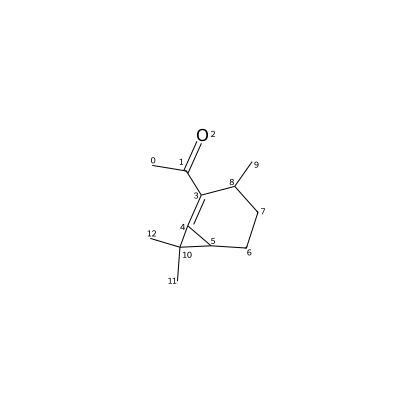 CC(=O)C1=C2C(CCC1C)C2(C)C